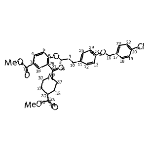 COC(=O)c1ccc(OCCCc2ccc(OCc3ccc(Cl)cc3)cc2)c(C(=O)N2CCC(C(=O)OC)CC2)c1